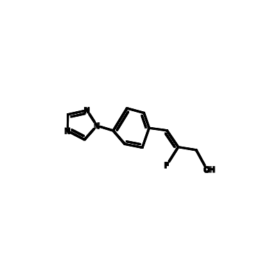 OCC(F)=Cc1ccc(-n2cncn2)cc1